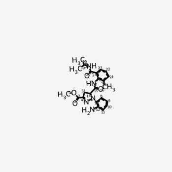 COC(=O)C1=NN(c2ccccc2N)C(C(=O)Nc2c(C)cccc2C(=O)NC(C)C)C1